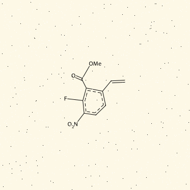 C=Cc1ccc([N+](=O)[O-])c(F)c1C(=O)OC